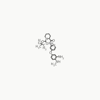 CNc1ccc(Oc2ccnc(NC(=O)C3CCCCN3C(=O)OC(C)(C)C)c2)cc1N